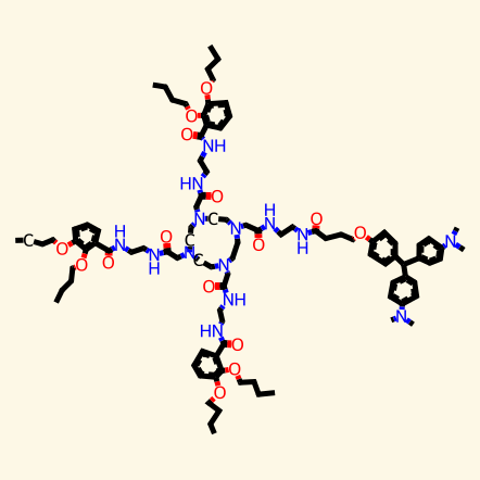 CCCCOc1cccc(C(=O)NCCNC(=O)CN2CCN(CC(=O)NCCNC(=O)CCCOc3ccc(C(c4ccc(N(C)C)cc4)c4ccc(N(C)C)cc4)cc3)CCN(CC(=O)NCCNC(=O)c3cccc(OCCCC)c3OCCCC)CCN(CC(=O)NCCNC(=O)c3cccc(OCCCC)c3OCCCC)CC2)c1OCCCC